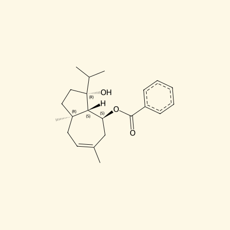 CC1=CC[C@@]2(C)CC[C@@](O)(C(C)C)[C@@H]2[C@@H](OC(=O)c2ccccc2)C1